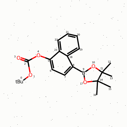 CC(C)(C)OC(=O)Oc1ccc(B2OC(C)(C)C(C)(C)O2)c2ccccc12